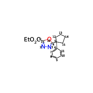 CCOC(=O)c1nnc(C2(c3ccccc3)CCCC2)o1